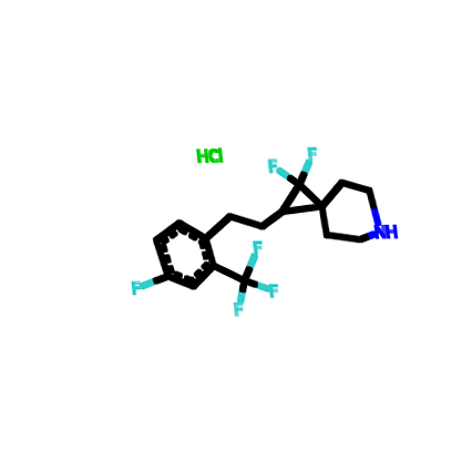 Cl.Fc1ccc(CCC2C(F)(F)C23CCNCC3)c(C(F)(F)F)c1